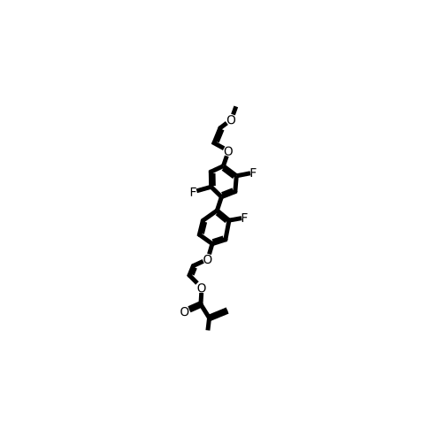 C=C(C)C(=O)O/C=C\Oc1ccc(-c2cc(F)c(O/C=C\OC)cc2F)c(F)c1